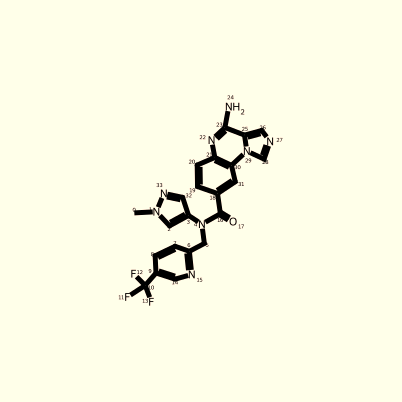 Cn1cc(N(Cc2ccc(C(F)(F)F)cn2)C(=O)c2ccc3nc(N)c4cncn4c3c2)cn1